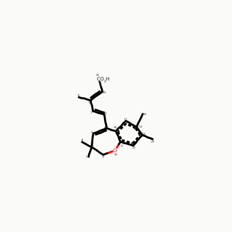 CC(C=CC1=CC(C)(C)COc2cc(C)c(C)cc21)=CC(=O)O